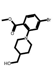 COC(=O)c1ccc(Br)cc1N1CCC(CO)CC1